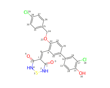 O=C1NSNC(=O)C1=Cc1cc(-c2ccc(O)c(Cl)c2)ccc1OCc1ccc(Cl)cc1